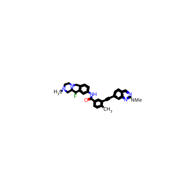 CNc1ncc2ccc(C#Cc3cc(C(=O)Nc4ccc5c(c4)C(F)C4CN(C)CCN4C5)ccc3C)cc2n1